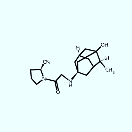 C[C@H]1C2C[C@@H]3CC1(O)C[C@](NCC(=O)N1CCC[C@H]1C#N)(C2)C3